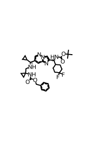 CC(C)(C)OC(=O)N[C@H](c1cn2ncc([C@H](NCC3(NC(=O)OCc4ccccc4)CC3)C3CC3)cc2n1)C1CCC(F)(F)CC1